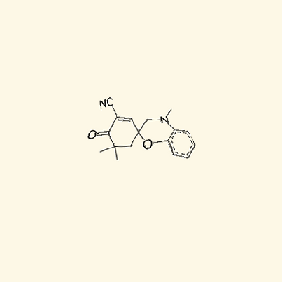 CN1CC2(C=C(C#N)C(=O)C(C)(C)C2)Oc2ccccc21